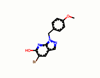 COc1ccc(Cn2ncc3cc(Br)c(O)nc32)cc1